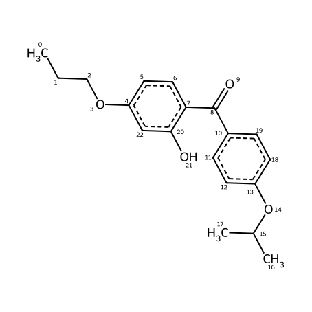 CCCOc1ccc(C(=O)c2ccc(OC(C)C)cc2)c(O)c1